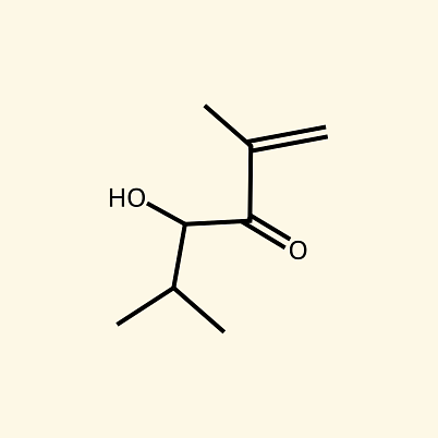 C=C(C)C(=O)C(O)C(C)C